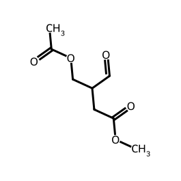 COC(=O)CC(C=O)COC(C)=O